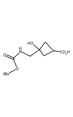 CC(C)(C)OC(=O)NCC1(O)CN(C(=O)O)C1